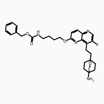 NC12CCC(CCc3c(F)cnc4ccc(OCCCCNC(=O)OCc5ccccc5)nc34)(CC1)OC2